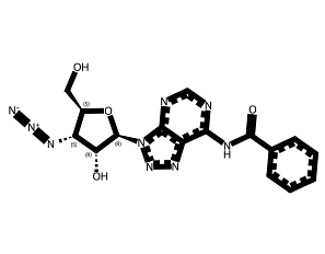 [N-]=[N+]=N[C@H]1[C@@H](O)[C@H](n2nnc3c(NC(=O)c4ccccc4)ncnc32)O[C@@H]1CO